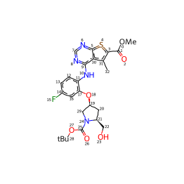 COC(=O)c1sc2ncnc(Nc3ccc(F)cc3O[C@H]3C[C@@H](CO)N(C(=O)OC(C)(C)C)C3)c2c1C